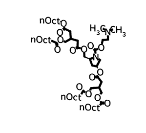 CCCCCCCCOC(=O)CC(COC(=O)CCCCCCCC)CC(=O)OC[C@@H]1C[C@@H](OC(=O)CC(COC(=O)CCCCCCCC)COC(=O)CCCCCCCC)CN1C(=O)OCCN(C)C